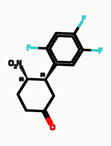 O=C1CC[C@H]([N+](=O)[O-])[C@@H](c2cc(F)c(F)cc2F)C1